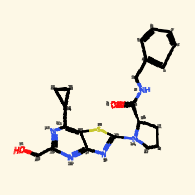 O=C(NCc1ccccc1)[C@H]1CCCN1c1nc2nc(CO)nc(C3CC3)c2s1